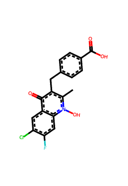 Cc1c(Cc2ccc(C(=O)O)cc2)c(=O)c2cc(Cl)c(F)cc2n1O